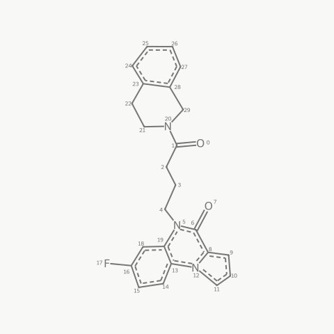 O=C(CCCn1c(=O)c2cccn2c2ccc(F)cc21)N1CCc2ccccc2C1